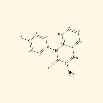 Cc1ccc(-n2c(=O)c(N)nc3cccnc32)cc1